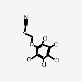 N#CSCOc1c(Cl)c(Cl)c(Cl)c(Cl)c1Cl